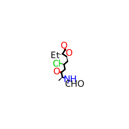 CC[C@@H]1C(=O)O[C@H]1C[C@H](Cl)CC(=O)[C@H](C)NC=O